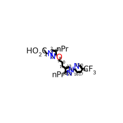 CCCc1cn(CC(=O)O)nc1OCCCc1cn(-c2ccc(C(F)(F)F)cn2)nc1CCC